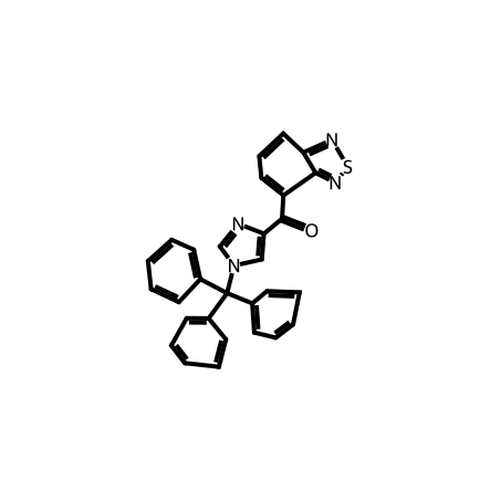 O=C(c1cn(C(c2ccccc2)(c2ccccc2)c2ccccc2)cn1)c1cccc2nsnc12